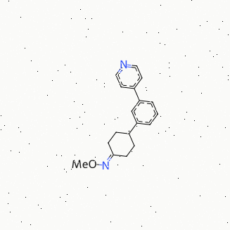 CON=C1CC[C](c2cccc(-c3ccncc3)c2)CC1